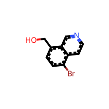 OCc1ccc(Br)c2ccncc12